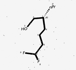 CCC[C@@H](CO)CCCC(F)F